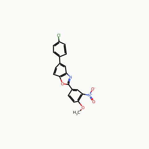 COc1ccc(-c2nc3cc(-c4ccc(Cl)cc4)ccc3o2)cc1[N+](=O)[O-]